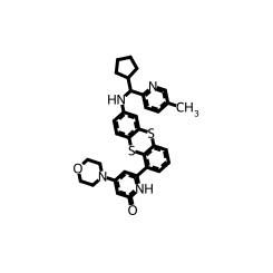 Cc1ccc(C(Nc2ccc3c(c2)Sc2cccc(-c4cc(N5CCOCC5)cc(=O)[nH]4)c2S3)C2CCCC2)nc1